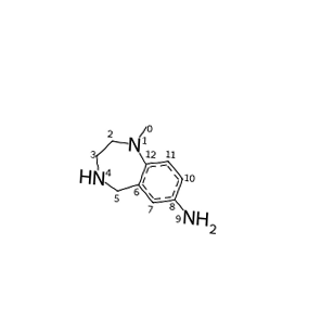 CN1CCNCc2cc(N)ccc21